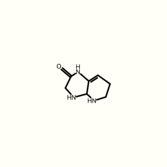 O=C1CNC2NCCC=C2N1